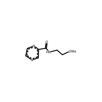 COCCNC(=O)c1cnccn1